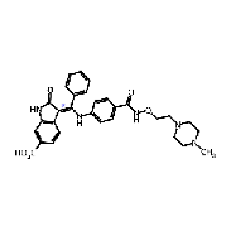 CN1CCN(CCONC(=O)c2ccc(N/C(=C3/C(=O)Nc4cc(C(=O)O)ccc43)c3ccccc3)cc2)CC1